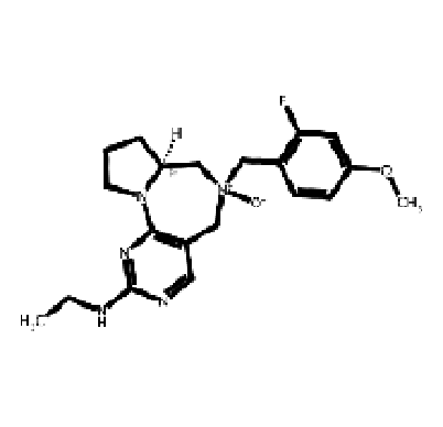 CCNc1ncc2c(n1)N1CCC[C@H]1C[N+]([O-])(Cc1ccc(OC)cc1F)C2